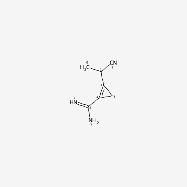 CC(C#N)C1=C(C(=N)N)C1